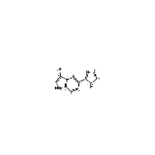 CC(C)c1c[nH]c2ccc(-c3ncc[nH]3)cc12